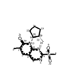 Cc1cc2cnc(S(C)(=O)=O)nc2n([C@@H]2CCC[C@@H]2C)c1=O